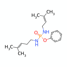 CC(C)=CCCNP(=O)(NCC=C(C)C)Oc1ccccc1